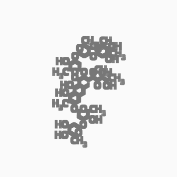 CO[C@H](C(=O)[C@@H](O)[C@@H](C)O)[C@@H]1Cc2cc3cc(O[C@H]4CC(O[C@H]5C[C@@H](O)[C@H](O)[C@@H](C)O5)[C@H](O)[C@@H](C)O4)c(C)c(O)c3c(O)c2C(=O)[C@H]1O[C@H]1C[C@@H](O[C@H]2C[C@@H](O[C@H]3C[C@](C)(O)[C@H](O)[C@@H](C)O3)[C@H](O)[C@@H](C)O2)[C@H](O)[C@@H](C)O1